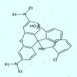 CCN(CC)c1ccc2c(c1)Oc1cc(N(CC)CC)ccc1C2(Nc1ccccc1Cl)c1ccccc1C(=O)O